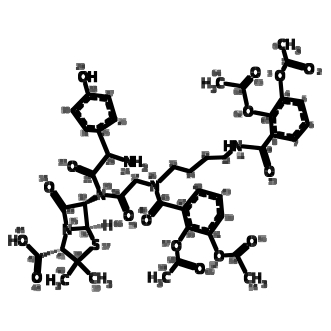 CC(=O)Oc1cccc(C(=O)NCCCCN(CC(=O)N(C(=O)C(N)c2ccc(O)cc2)[C@@H]2C(=O)N3[C@@H]2SC(C)(C)[C@@H]3C(=O)O)C(=O)c2cccc(OC(C)=O)c2OC(C)=O)c1OC(C)=O